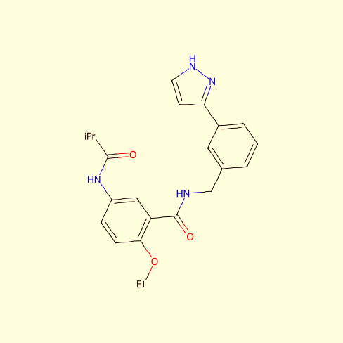 CCOc1ccc(NC(=O)C(C)C)cc1C(=O)NCc1cccc(-c2cc[nH]n2)c1